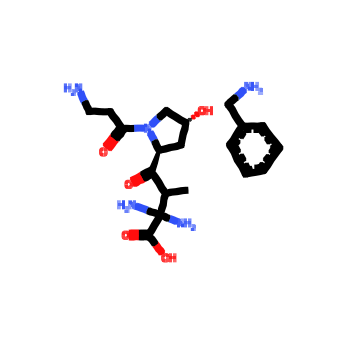 CC(C(=O)[C@@H]1C[C@@H](O)CN1C(=O)CCN)C(N)(N)C(=O)O.NCc1ccccc1